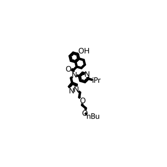 CCCCOCCOCCn1cc(CN(C(=O)C2CCCc3c(O)cccc32)c2ccc(C(C)C)nc2)cn1